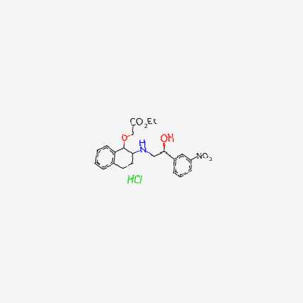 CCOC(=O)COC1c2ccccc2CCC1NC[C@@H](O)c1cccc([N+](=O)[O-])c1.Cl